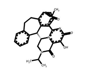 CC(C)N1C[C@H](C2c3ccccc3CCc3ccccc32)n2c(NS(C)(=O)=O)nc(=O)c(O)c2C1=O